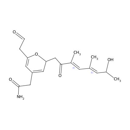 CC(=C\C(C)O)/C=C(\C)C(=O)CC1C=C(CC(N)=O)C=C(CC=O)O1